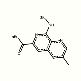 CCCCC(=O)c1cc2cc(C)cnc2c(NC(C)(C)C)n1